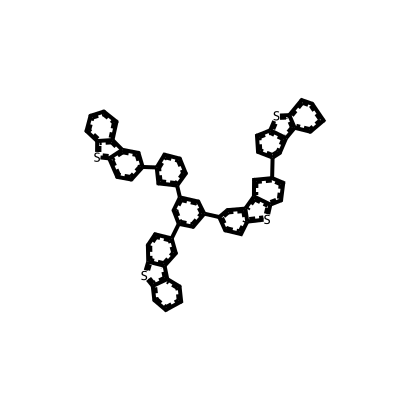 c1cc(-c2cc(-c3ccc4sc5ccccc5c4c3)cc(-c3ccc4sc5ccc(-c6ccc7sc8ccccc8c7c6)cc5c4c3)c2)cc(-c2ccc3sc4ccccc4c3c2)c1